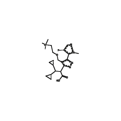 Cn1ncc(F)c1-c1nnc(C(C(=O)O)C(C2CC2)C2CC2)n1COCC[Si](C)(C)C